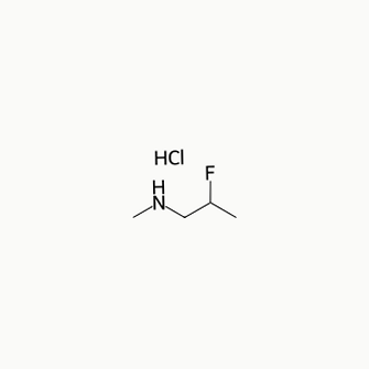 CNCC(C)F.Cl